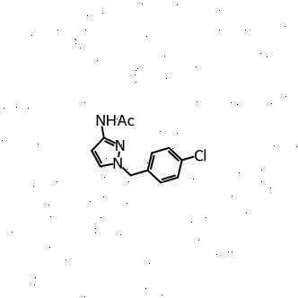 CC(=O)Nc1ccn(Cc2ccc(Cl)cc2)n1